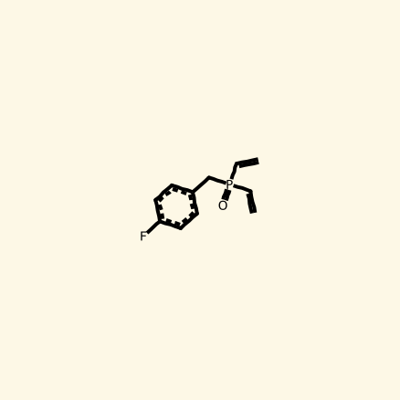 C=CP(=O)(C=C)Cc1ccc(F)cc1